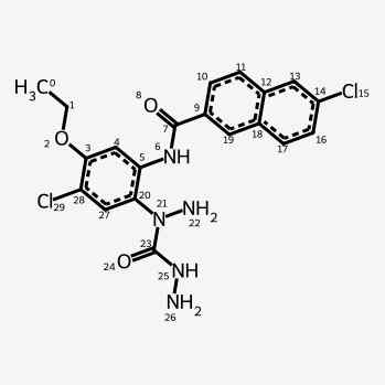 CCOc1cc(NC(=O)c2ccc3cc(Cl)ccc3c2)c(N(N)C(=O)NN)cc1Cl